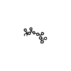 C/C=C\c1c(C)c2ccc(N(c3ccccc3)c3ccc(-c4ccc(N(c5ccccc5)c5ccc6c7ccccc7n(C7C=CC=CC7)c6c5)cc4)cc3)cc2n1-c1ccccc1